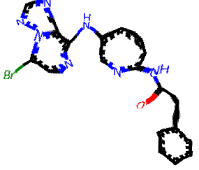 O=C(Cc1ccccc1)Nc1ccc(Nc2ncc(Br)n3ncnc23)cn1